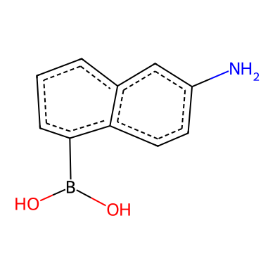 Nc1ccc2c(B(O)O)cccc2c1